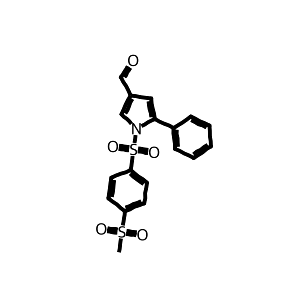 CS(=O)(=O)c1ccc(S(=O)(=O)n2cc(C=O)cc2-c2ccccc2)cc1